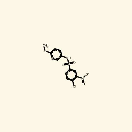 COc1ccc(NS(=O)(=O)c2ccc(Cl)c([N+](=O)[O-])c2)cn1